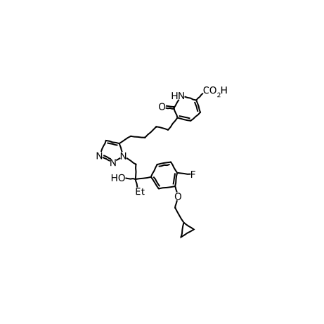 CCC(O)(Cn1nncc1CCCCc1ccc(C(=O)O)[nH]c1=O)c1ccc(F)c(OCC2CC2)c1